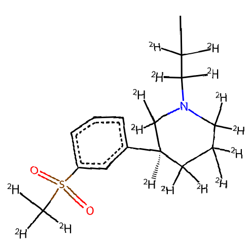 [2H]C([2H])(C)C([2H])([2H])N1C([2H])([2H])C([2H])([2H])C([2H])([2H])[C@@]([2H])(c2cccc(S(=O)(=O)C([2H])([2H])[2H])c2)C1([2H])[2H]